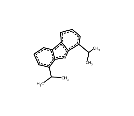 CC(C)c1cccc2c1sc1c(C(C)C)cccc12